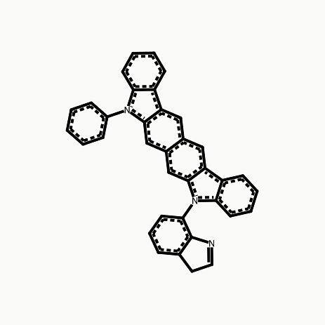 C1=Nc2c(cccc2-n2c3ccccc3c3cc4cc5c6ccccc6n(-c6ccccc6)c5cc4cc32)C1